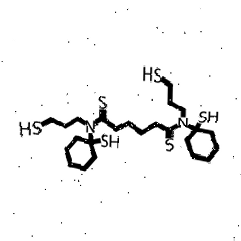 S=C(CCCCC(=S)N(CCCS)C1(S)CCCCC1)N(CCCS)C1(S)CCCCC1